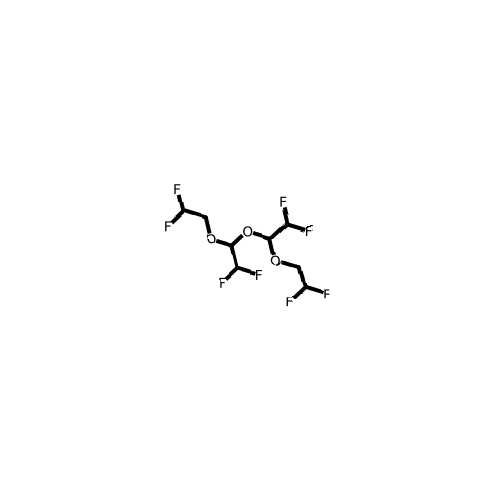 FC(F)COC(OC(OCC(F)F)C(F)F)C(F)F